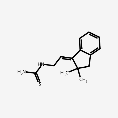 CC1(C)Cc2ccccc2/C1=C/CNC(N)=S